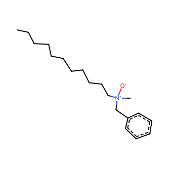 CCCCCCCCCCC[N+](C)([O-])Cc1ccccc1